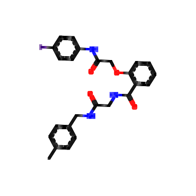 Cc1ccc(CNC(=O)CNC(=O)c2ccccc2OCC(=O)Nc2ccc(I)cc2)cc1